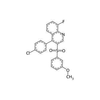 COc1cccc(S(=O)(=O)c2cnc3c(F)cccc3c2-c2ccc(Cl)cc2)c1